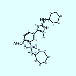 COc1ccc(-c2sc(NC3CCCCC3)nc2C)cc1S(=O)(=O)NC1CCCCCC1